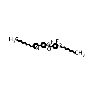 CCCCCCCCOc1ccc(C(=O)Oc2ccc(-c3ccc(CCCCCCCC)cn3)cc2)c(F)c1F